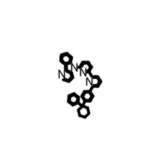 c1ccc(C2(c3ccc(-c4cccc(-c5cccc(-n6c7ccccc7c7ncccc76)n5)n4)cc3)CCCCC2)cc1